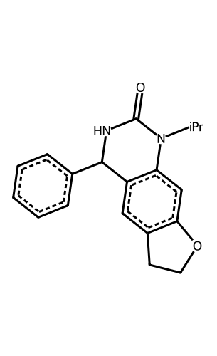 CC(C)N1C(=O)NC(c2ccccc2)c2cc3c(cc21)OCC3